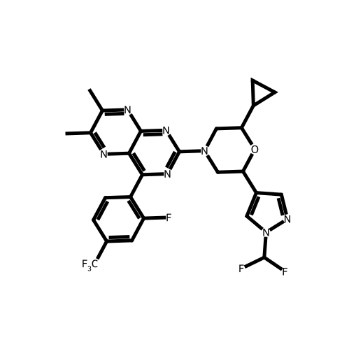 Cc1nc2nc(N3CC(c4cnn(C(F)F)c4)OC(C4CC4)C3)nc(-c3ccc(C(F)(F)F)cc3F)c2nc1C